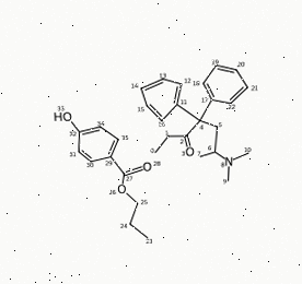 CCC(=O)C(CC(C)N(C)C)(c1ccccc1)c1ccccc1.CCCOC(=O)c1ccc(O)cc1